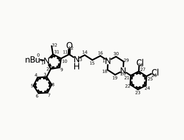 CCCCn1c(-c2ccccc2)cc(C(=O)NCCCN2CCN(c3cccc(Cl)c3Cl)CC2)c1C